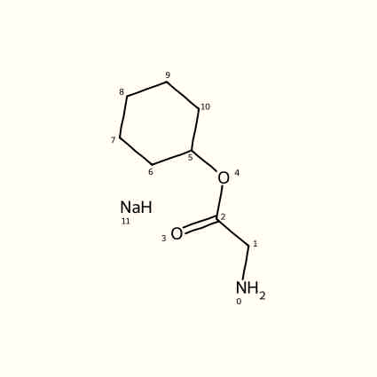 NCC(=O)OC1CCCCC1.[NaH]